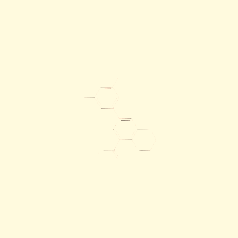 CC(=O)c1cc(-c2cc(F)cc(F)c2)cc2c1OCCO2